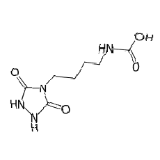 O=C(O)NCCCCn1c(=O)[nH][nH]c1=O